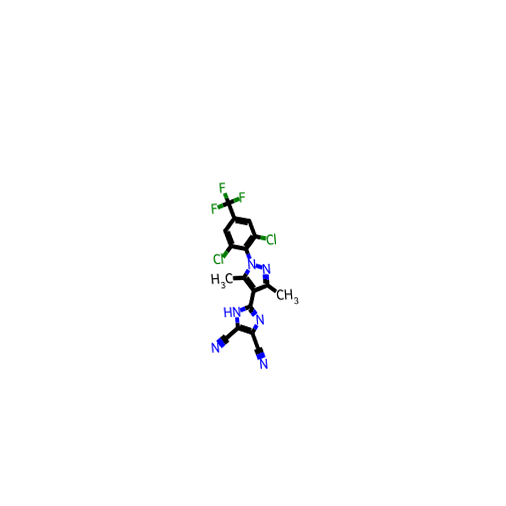 Cc1nn(-c2c(Cl)cc(C(F)(F)F)cc2Cl)c(C)c1-c1nc(C#N)c(C#N)[nH]1